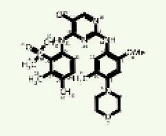 COc1cc(N2CCOCC2)c(C)cc1Nc1ncc(Cl)c(Nc2ccc(C)c(C)c2P(C)(C)=O)n1